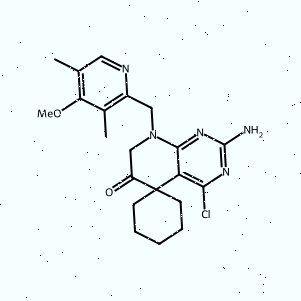 COc1c(C)cnc(CN2CC(=O)C3(CCCCC3)c3c(Cl)nc(N)nc32)c1C